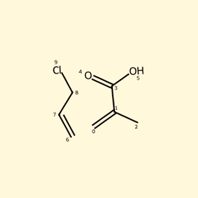 C=C(C)C(=O)O.C=CCCl